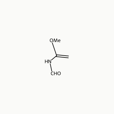 C=C(NC=O)OC